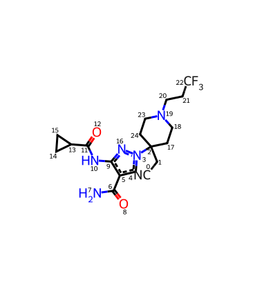 N#CCC1(n2cc(C(N)=O)c(NC(=O)C3CC3)n2)CCN(CCC(F)(F)F)CC1